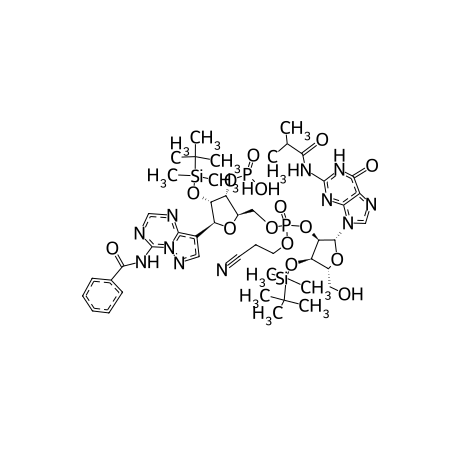 CC(C)C(=O)Nc1nc2c(ncn2[C@@H]2O[C@H](CO)[C@@H](O[Si](C)(C)C(C)(C)C)[C@H]2OP(=O)(OCCC#N)OC[C@H]2O[C@@H](c3cnn4c(NC(=O)c5ccccc5)ncnc34)[C@H](O[Si](C)(C)C(C)(C)C)[C@@H]2O[PH](=O)O)c(=O)[nH]1